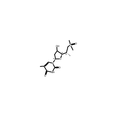 Cc1cn([C@H]2CC(O)[C@@H]([C@@H](C)CP(C)(C)=O)O2)c(=O)[nH]c1=O